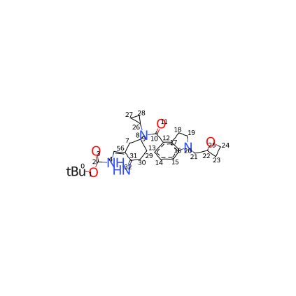 CC(C)(C)OC(=O)N/C=C1/CC(N(C(=O)c2cccc3c2CCN3CC2CCO2)C2CC2)CCC1=N